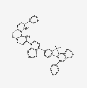 CC1(C)c2cc(-c3ccc(C4=CC=C5C=CC6=C(NC(c7ccccc7)C=C6)C5N4)c4ccccc34)ccc2-c2c(-c3ccccc3)cc3ccccc3c21